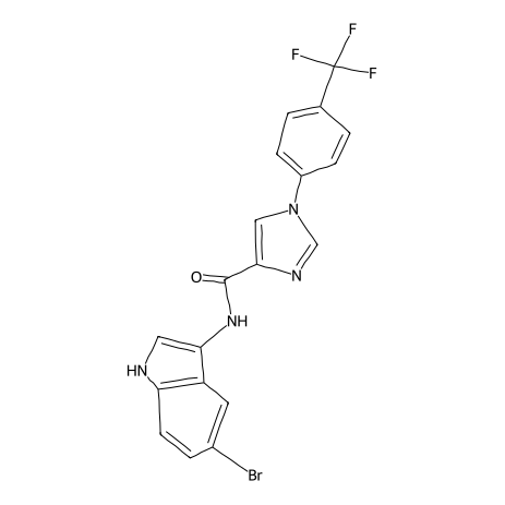 O=C(Nc1c[nH]c2ccc(Br)cc12)c1cn(-c2ccc(C(F)(F)F)cc2)cn1